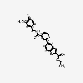 CCOC(=O)c1cc2cc(-c3nccc(C(=O)NCc4ccc(F)c(C)c4)n3)ccc2[nH]1